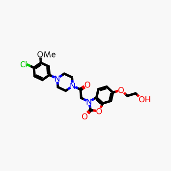 COc1cc(N2CCN(C(=O)Cn3c(=O)oc4cc(OCCO)ccc43)CC2)ccc1Cl